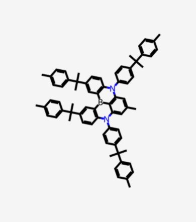 Cc1ccc(C(C)(C)c2ccc(N3c4ccc(C(C)(C)c5ccc(C)cc5)cc4B4c5cc(C(C)(C)c6ccc(C)cc6)ccc5N(c5ccc(C(C)(C)c6ccc(C)cc6)cc5)c5cc(C)cc3c54)cc2)cc1